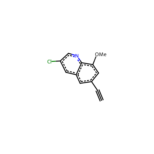 C#Cc1cc(OC)c2ncc(Cl)cc2c1